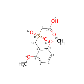 COc1cccc(OC)c1CS(=O)(=O)CC(=O)O